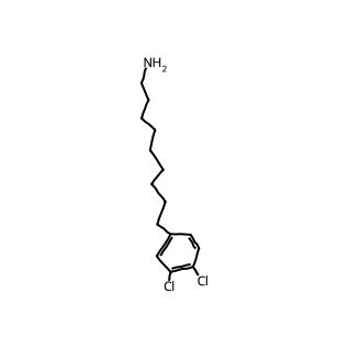 NCCCCCCCCCc1ccc(Cl)c(Cl)c1